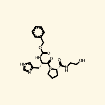 O=C(N[C@@H](Cc1c[nH]cn1)C(=O)N1CCC[C@H]1C(=O)NCCO)OCc1ccccc1